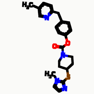 Cc1ccc(Cc2ccc(OC(=O)N3CCC(Sc4nccn4C)CC3)cc2)nc1